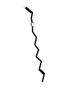 [CH]=CCCCCCCCCC=CC